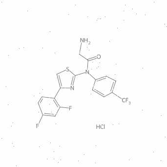 Cl.NCC(=O)N(c1ccc(C(F)(F)F)cc1)c1nc(-c2ccc(F)cc2F)cs1